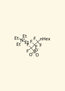 CCCCCCC(F)(F)C(F)(F)C(F)(F)S(=O)(=O)[O-].CC[N+](CC)(CC)CC